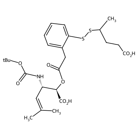 CC(C)=C[C@H](NC(=O)OC(C)(C)C)[C@@H](OC(=O)Cc1ccccc1SSC(C)CCC(=O)O)C(=O)O